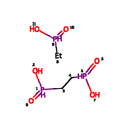 O=[PH](O)CC[PH](=O)O.[CH2]C[PH](=O)O